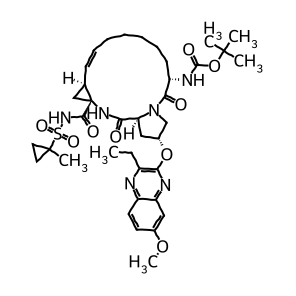 CCc1nc2ccc(OC)cc2nc1O[C@@H]1C[C@H]2C(=O)N[C@]3(C(=O)NS(=O)(=O)C4(C)CC4)C[C@H]3/C=C\CCCCC[C@H](NC(=O)OC(C)(C)C)C(=O)N2C1